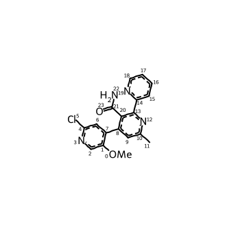 COc1cnc(Cl)cc1-c1cc(C)nc(-c2ccccn2)c1C(N)=O